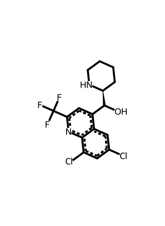 OC(c1cc(C(F)(F)F)nc2c(Cl)cc(Cl)cc12)[C@@H]1CCCCN1